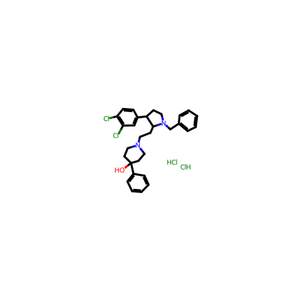 Cl.Cl.OC1(c2ccccc2)CCN(CCC2C(c3ccc(Cl)c(Cl)c3)CCN2Cc2ccccc2)CC1